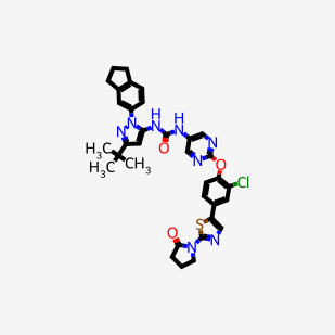 CC(C)(C)c1cc(NC(=O)Nc2cnc(Oc3ccc(-c4cnc(N5CCCC5=O)s4)cc3Cl)nc2)n(-c2ccc3c(c2)CCC3)n1